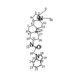 CC1C2CCC3C4CC=C5CC(N(C)C(=O)Cn6ccc7ccccc76)CCC5(C)C4CCC32CN1C